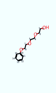 OCCOCCOCCOc1cc[c]cc1